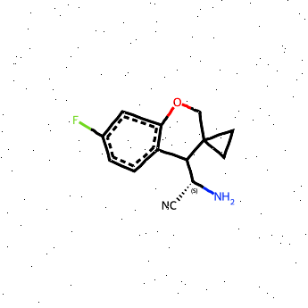 N#C[C@@H](N)C1c2ccc(F)cc2OCC12CC2